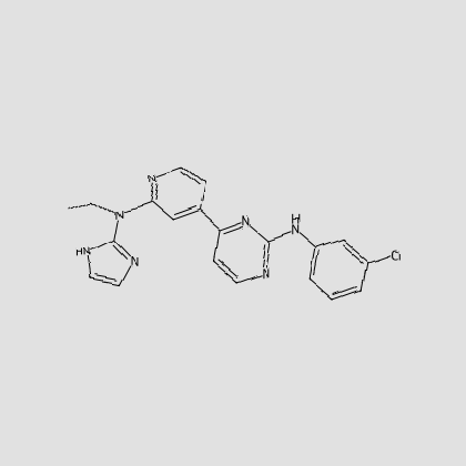 CCN(c1cc(-c2ccnc(Nc3cccc(Cl)c3)n2)ccn1)c1ncc[nH]1